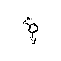 CC(C)(C)Oc1ccc[c]([Mg][Cl])c1